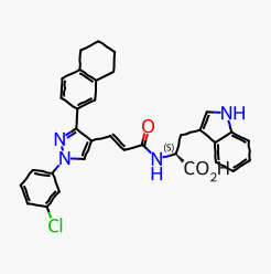 O=C(C=Cc1cn(-c2cccc(Cl)c2)nc1-c1ccc2c(c1)CCCC2)N[C@@H](Cc1c[nH]c2ccccc12)C(=O)O